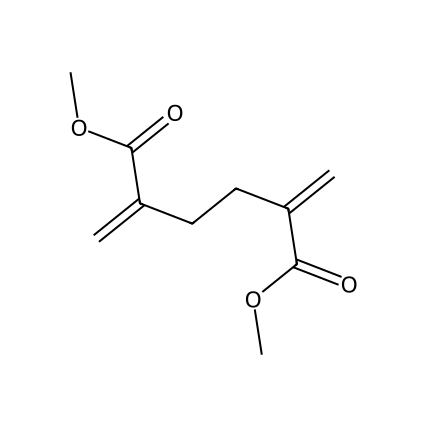 C=C(CCC(=C)C(=O)OC)C(=O)OC